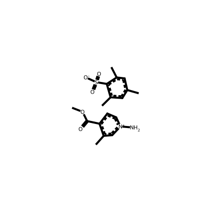 COC(=O)c1cc[n+](N)cc1C.Cc1cc(C)c(S(=O)(=O)[O-])c(C)c1